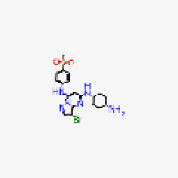 CS(=O)(=O)c1ccc(Nc2cc(N[C@H]3CC[C@@H](N)CC3)nc3c(Br)cnn23)cc1